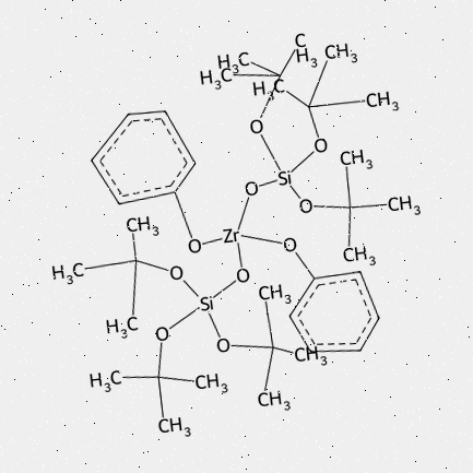 CC(C)(C)O[Si](OC(C)(C)C)(OC(C)(C)C)[O][Zr]([O]c1ccccc1)([O]c1ccccc1)[O][Si](OC(C)(C)C)(OC(C)(C)C)OC(C)(C)C